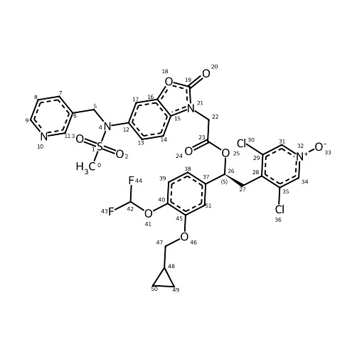 CS(=O)(=O)N(Cc1cccnc1)c1ccc2c(c1)oc(=O)n2CC(=O)O[C@@H](Cc1c(Cl)c[n+]([O-])cc1Cl)c1ccc(OC(F)F)c(OCC2CC2)c1